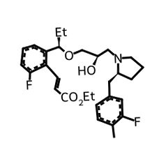 CCOC(=O)/C=C/c1c(F)cccc1[C@@H](CC)OC[C@H](O)CN1CCC[C@H]1Cc1ccc(C)c(F)c1